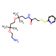 CC(C)(CCNC(=O)CCSSc1ccccn1)OCCC(C)(C)OCCN